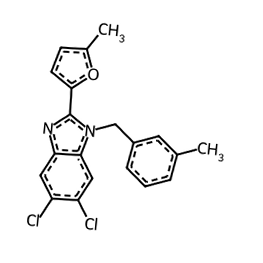 Cc1cccc(Cn2c(-c3ccc(C)o3)nc3cc(Cl)c(Cl)cc32)c1